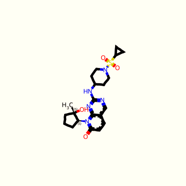 C[C@]1(O)CCC[C@@H]1n1c(=O)ccc2cnc(NC3CCN(S(=O)(=O)C4CC4)CC3)nc21